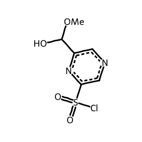 COC(O)c1cncc(S(=O)(=O)Cl)n1